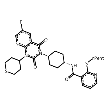 CCCCCSc1ncccc1C(=O)N[C@H]1CC[C@@H](n2c(=O)c3cc(F)cnc3n(C3CCSCC3)c2=O)CC1